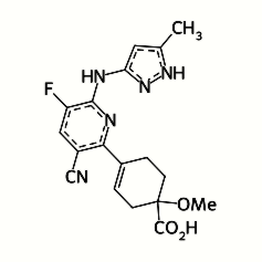 COC1(C(=O)O)CC=C(c2nc(Nc3cc(C)[nH]n3)c(F)cc2C#N)CC1